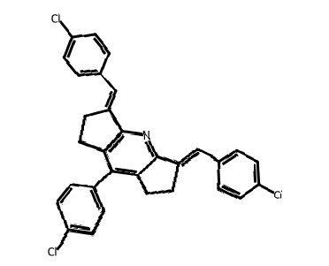 Clc1ccc(C=C2CCc3c2nc2c(c3-c3ccc(Cl)cc3)CCC2=Cc2ccc(Cl)cc2)cc1